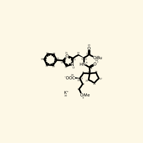 COCC[C@H](CC1(C(=O)N[C@@H](Cc2ncc(-c3ccccc3)o2)C(=O)OCC(C)C)CCCC1)C(=O)[O-].[K+]